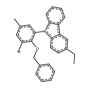 CCc1ccc2c(c1)c1ccccc1n2-c1cc(C)cc(Br)c1OCc1ccccc1